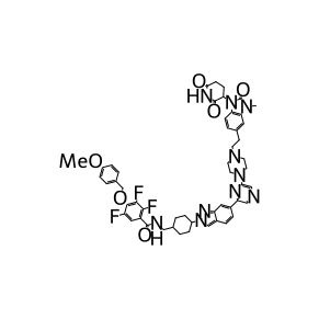 COc1ccc(COc2c(F)cc(C(=O)NCC3CCC(n4cc5ccc(-c6cncc(N7CCN(CCc8ccc9c(c8)n(C)c(=O)n9C8CCC(=O)NC8=O)CC7)n6)cc5n4)CC3)c(F)c2F)cc1